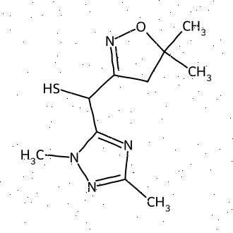 Cc1nc(C(S)C2=NOC(C)(C)C2)n(C)n1